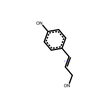 O=NC/C=C/c1ccc(N=O)cc1